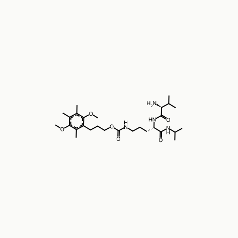 COc1c(C)c(C)c(OC)c(CCCOC(=O)NCCC[C@H](NC(=O)[C@@H](N)C(C)C)C(=O)NC(C)C)c1C